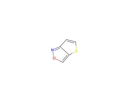 c1cc2nocc2s1